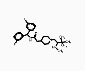 CNC(CN1CCC(CC(=O)NC(c2cccc(F)c2)c2cccc(F)c2)CC1)C(C)(C)C